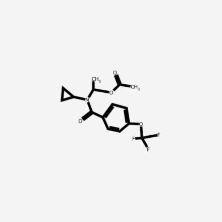 CC(=O)OC(C)N(C(=O)c1ccc(OC(F)(F)F)cc1)C1CC1